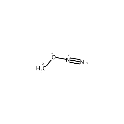 CO[N+]#N